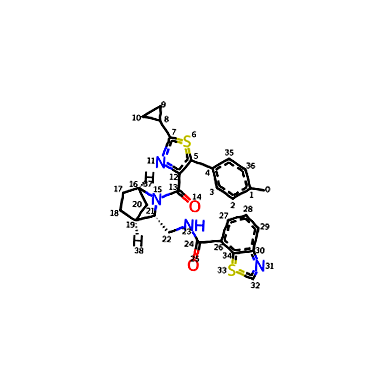 Cc1ccc(-c2sc(C3CC3)nc2C(=O)N2[C@@H]3CC[C@@H](C3)[C@H]2CNC(=O)c2cccc3ncsc23)cc1